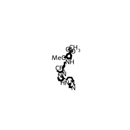 COc1cc(S(C)(=O)=O)ccc1NCC#Cc1nc2c([C@H]3CCCn4cncc4N3)cccn2c1CC(F)(F)F